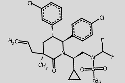 C=CC[C@@]1(C)C[C@H](c2cccc(Cl)c2)[C@@H](c2ccc(Cl)cc2)N([C@@H](CN(C(F)F)S(=O)(=O)C(C)(C)C)C2CC2)C1=O